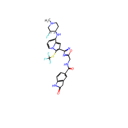 CN1CC[C@@H](Nc2cccn3c(SC(F)(F)F)c(-c4noc(CNC(=O)c5ccc6c(c5)CC(=O)N6)n4)cc23)[C@@H](F)C1